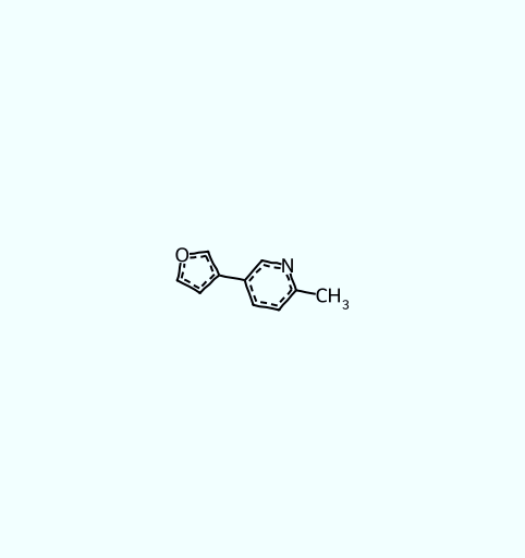 Cc1ccc(-c2ccoc2)cn1